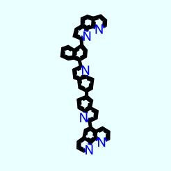 c1cnc2c(c1)ccc1ccc(-c3ccc(-c4ccc5cc(-c6ccc7nc(-c8cc9cccnc9c9ncccc89)ccc7c6)ccc5n4)c4ccccc34)nc12